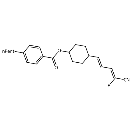 CCCCCc1ccc(C(=O)OC2CCC(C=CC=C(F)C#N)CC2)cc1